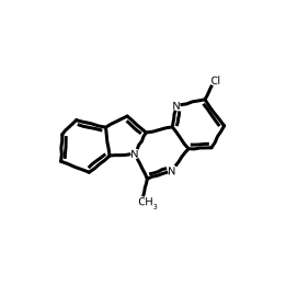 Cc1nc2ccc(Cl)nc2c2cc3ccccc3n12